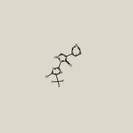 O=c1c(-c2cccnc2)c[nH]n1-c1nc(C(F)(F)F)c(Cl)s1